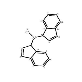 C[CH2][Al]([CH]1C=Cc2ccccc21)[CH]1C=Cc2ccccc21